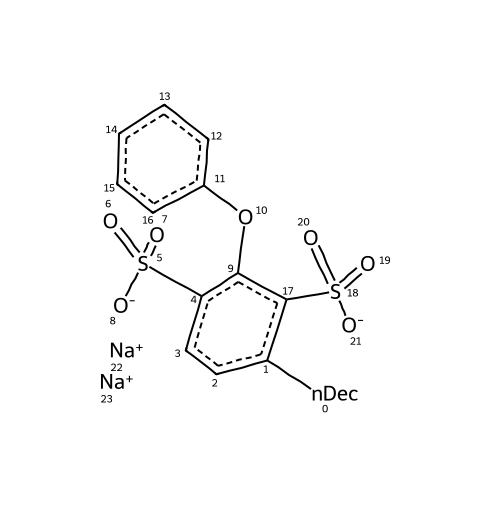 CCCCCCCCCCc1ccc(S(=O)(=O)[O-])c(Oc2ccccc2)c1S(=O)(=O)[O-].[Na+].[Na+]